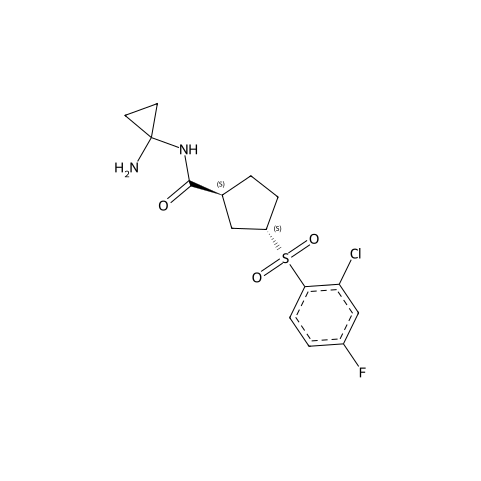 NC1(NC(=O)[C@H]2CC[C@H](S(=O)(=O)c3ccc(F)cc3Cl)C2)CC1